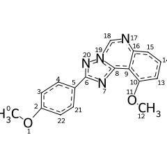 COc1ccc(-c2nc3c4c(OC)cccc4ncn3n2)cc1